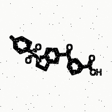 Cc1ccc(S(=O)(=O)N2CCc3cc(C(=O)c4cccc(C(=O)O)c4)ccc32)cc1